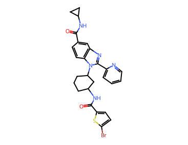 O=C(NC1CC1)c1ccc2c(c1)nc(-c1ccccn1)n2C1CCCC(NC(=O)c2ccc(Br)s2)C1